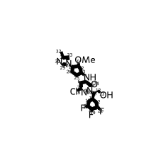 COc1cc(Nc2cc(Cl)nn([C@@H](CO)c3cc(F)c(F)c(F)c3)c2=O)ccc1-n1cnc(C)c1